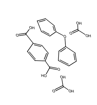 O=C(O)O.O=C(O)O.O=C(O)c1ccc(C(=O)O)cc1.c1ccc(Oc2ccccc2)cc1